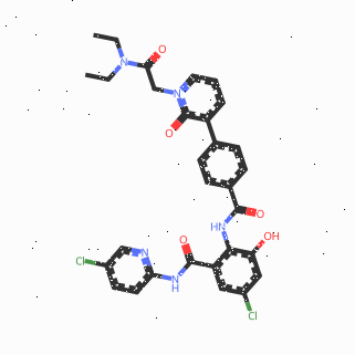 CCN(CC)C(=O)Cn1cccc(-c2ccc(C(=O)Nc3c(O)cc(Cl)cc3C(=O)Nc3ccc(Cl)cn3)cc2)c1=O